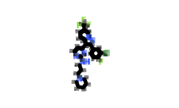 Fc1ccc(-c2nn3cc(C(F)(F)F)ccc3c2-c2ccnc(NCCCN3CCCCC3)n2)cc1Cl